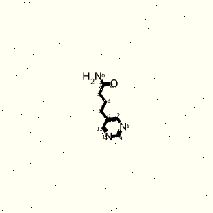 NC(=O)CCCc1cncnc1